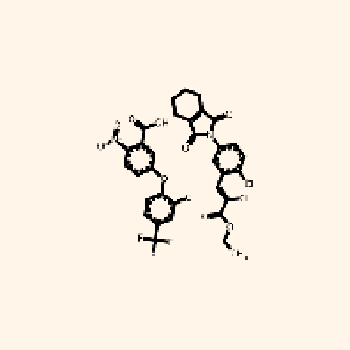 CCOC(=O)/C(Cl)=C/c1cc(N2C(=O)C3=C(CCCC3)C2=O)ccc1Cl.O=C(O)c1cc(Oc2ccc(C(F)(F)F)cc2Cl)ccc1[N+](=O)[O-]